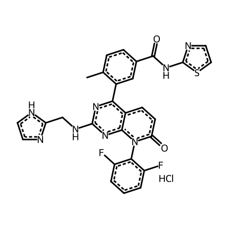 Cc1ccc(C(=O)Nc2nccs2)cc1-c1nc(NCc2ncc[nH]2)nc2c1ccc(=O)n2-c1c(F)cccc1F.Cl